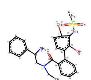 CCN(CC(N)c1ccccc1)C(=O)c1ccccc1-c1ccc(O)c(NS(C)(=O)=O)c1O